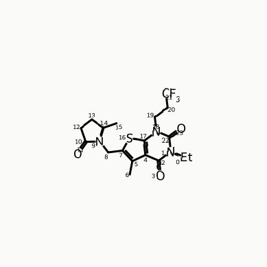 CCn1c(=O)c2c(C)c(CN3C(=O)CCC3C)sc2n(CCC(F)(F)F)c1=O